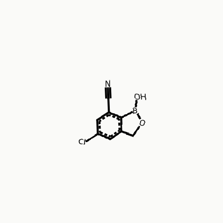 N#Cc1cc(Cl)cc2c1B(O)OC2